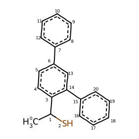 CC(S)c1ccc(-c2ccccc2)cc1-c1ccccc1